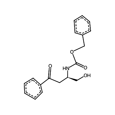 O=C(N[C@@H](CO)CC(=O)c1ccccc1)OCc1ccccc1